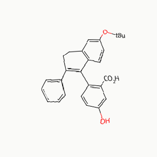 CC(C)(C)Oc1ccc2c(c1)CCC(c1ccccc1)=C2c1ccc(O)cc1C(=O)O